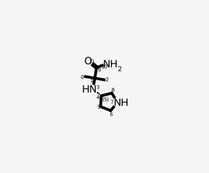 CC(C)(N[C@H]1CCNC1)C(N)=O